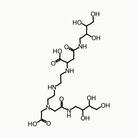 O=C(O)CN(CCNCCNC(CC(=O)NCC(O)C(O)CO)C(=O)O)CC(=O)NCC(O)C(O)CO